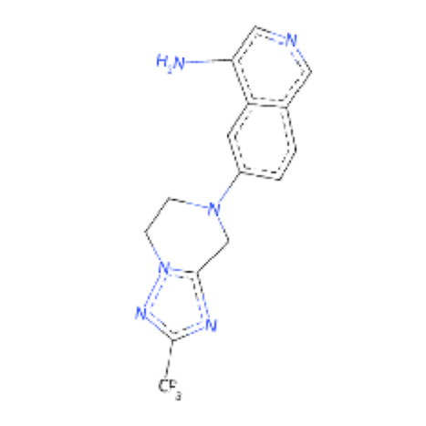 Nc1cncc2ccc(N3CCn4nc(C(F)(F)F)nc4C3)cc12